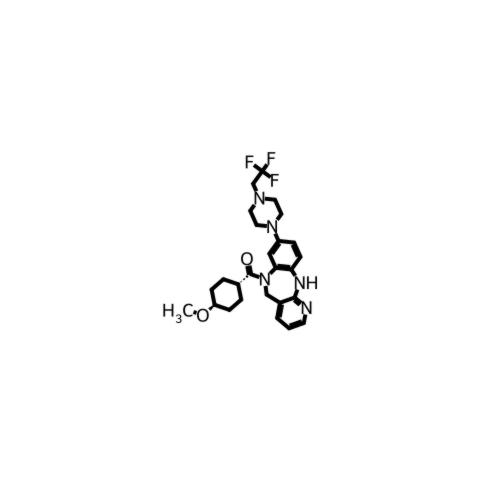 CO[C@H]1CC[C@H](C(=O)N2Cc3cccnc3Nc3ccc(N4CCN(CC(F)(F)F)CC4)cc32)CC1